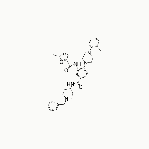 Cc1ccc(C(=O)Nc2cc(C(=O)NC3CCN(Cc4ccccc4)CC3)ccc2N2CCN(c3ccccc3C)CC2)o1